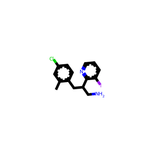 Cc1cc(Cl)ccc1CC(CN)c1ncccc1I